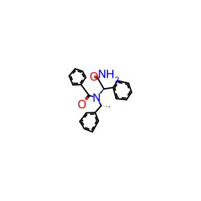 C[C@H](c1ccccc1)N(C(=O)c1ccccc1)[C@@H](C(N)=O)c1ccccc1